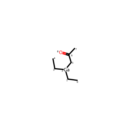 C[CH2][Ga]([CH2]C)[CH2]C(C)=O